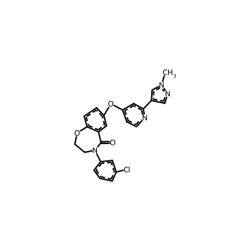 Cn1cc(-c2cc(Oc3ccc4c(c3)C(=O)N(c3cccc(Cl)c3)CCO4)ccn2)cn1